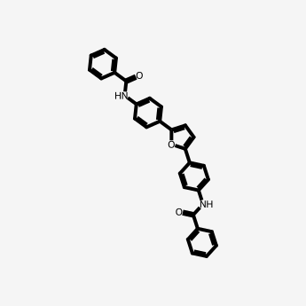 O=C(Nc1ccc(-c2ccc(-c3ccc(NC(=O)c4ccccc4)cc3)o2)cc1)c1ccccc1